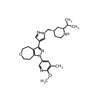 COc1ncc(-n2nc(-c3cnn(C[C@@H]4CCNC(C(C)C)C4)c3)c3c2CCOCC3)cc1C